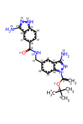 C=C(OC(C)(C)C)n1nc(N)c2cc(CNC(=O)c3ccc4[nH]nc(N)c4c3)ccc21